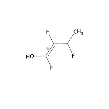 CC(F)/C(F)=C(/O)F